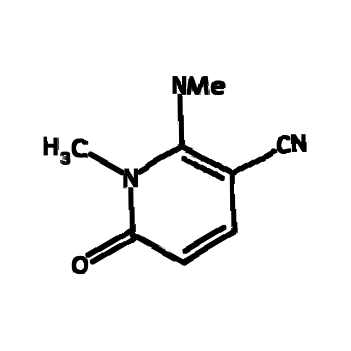 CNc1c(C#N)ccc(=O)n1C